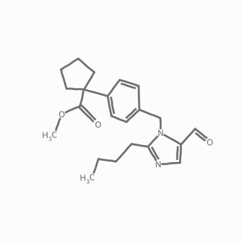 CCCCc1ncc(C=O)n1Cc1ccc(C2(C(=O)OC)CCCC2)cc1